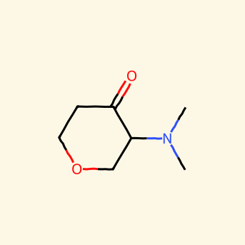 CN(C)C1COCCC1=O